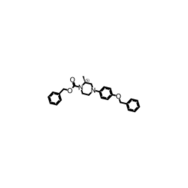 C[C@H]1CN(c2ccc(OCc3ccccc3)cc2)CCN1C(=O)OCc1ccccc1